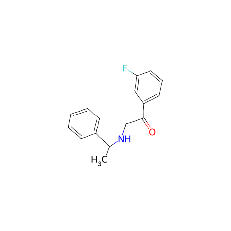 CC(NCC(=O)c1cccc(F)c1)c1ccccc1